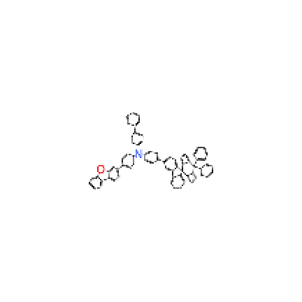 c1ccc(-c2ccc(N(c3ccc(-c4ccc5c(c4)-c4ccccc4C54c5ccccc5C(c5ccccc5)(c5ccccc5)c5ccccc54)cc3)c3ccc(-c4ccc5c(c4)oc4ccccc45)cc3)cc2)cc1